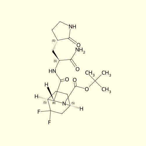 CC(C)(C)OC(=O)N1[C@H]2CC[C@@H]([C@@H]1C(=O)N[C@@H](C[C@@H]1CCNC1=O)C(N)=O)C(F)(F)C2